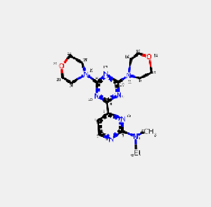 CCN(C)c1nccc(-c2nc(N3CCOCC3)nc(N3CCOCC3)n2)n1